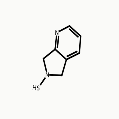 SN1Cc2cccnc2C1